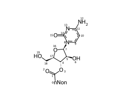 CCCCCCCCCC(=O)O[C@H]1[C@H](O)[C@H](n2ccc(N)nc2=O)O[C@@H]1CO